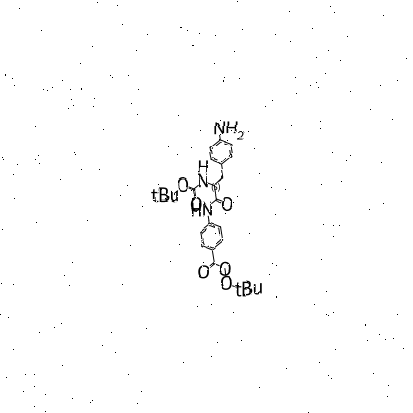 CC(C)(C)OOC(=O)c1ccc(NC(=O)[C@H](Cc2ccc(N)cc2)NC(=O)OC(C)(C)C)cc1